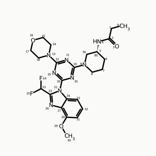 CCC(=O)N[C@@H]1CCCN(c2nc(N3CCOCC3)nc(-n3c(C(F)F)nc4c(OC)cccc43)n2)C1